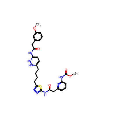 CC(C)(C)OC(=O)Nc1cccc(CC(=O)Nc2nnc(CCCCC3=CC=C(NC(=O)Cc4cccc(OC(F)(F)F)c4)NN3)s2)n1